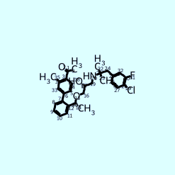 CC(=O)c1ccc(-c2ccccc2[C@@H](C)OC[C@H](O)CNC(C)(C)Cc2ccc(Cl)c(F)c2)cc1C